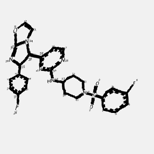 O=S(=O)(c1cccc(F)c1)N1CCC(Nc2nccc(C3C(c4ccc(F)cc4)N=C4OC=CN43)n2)CC1